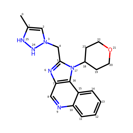 CC1=CN(Cc2nc3cnc4ccccc4c3n2C2CCOCC2)NN1